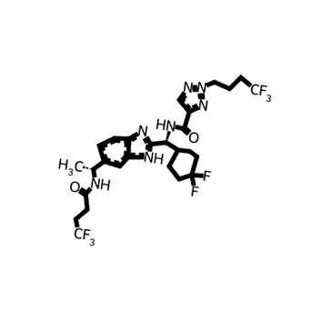 C[C@@H](NC(=O)CCC(F)(F)F)c1ccc2nc([C@@H](NC(=O)c3cnn(CCCC(F)(F)F)n3)C3CCC(F)(F)CC3)[nH]c2c1